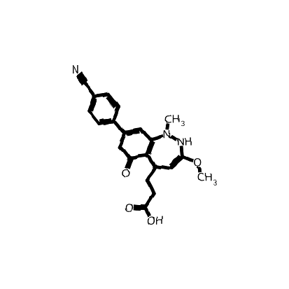 COC1=CC(CCC(=O)O)C2=C(C=C(c3ccc(C#N)cc3)CC2=O)N(C)N1